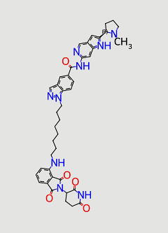 CN1CCC[C@@H]1c1cc2cnc(NC(=O)c3ccc4c(cnn4CCCCCCCCNc4cccc5c4C(=O)N(C4CCC(=O)NC4=O)C5=O)c3)cc2[nH]1